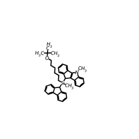 Cn1c2c(c3ccccc31)C([Si](C)(CCCCCCOC(C)(C)C)C1c3ccccc3-c3ccccc31)c1ccccc1-2